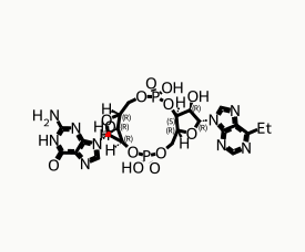 CCc1ncnc2c1ncn2[C@@H]1O[C@@H]2COP(=O)(O)O[C@@H]3[C@H](O)[C@@H](COP(=O)(O)O[C@H]2[C@H]1O)O[C@H]3n1cnc2c(=O)[nH]c(N)nc21